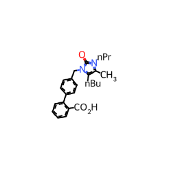 CCCCc1c(C)n(CCC)c(=O)n1Cc1ccc(-c2ccccc2C(=O)O)cc1